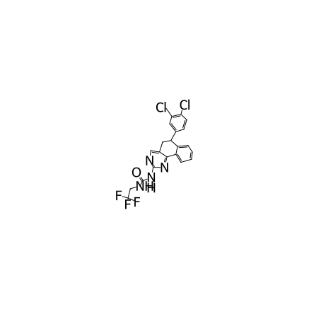 O=C(NCC(F)(F)F)Nc1ncc2c(n1)-c1ccccc1C(c1ccc(Cl)c(Cl)c1)C2